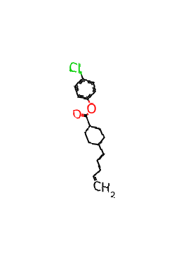 C=CCCCC1CCC(C(=O)Oc2ccc(Cl)cc2)CC1